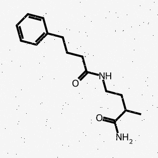 CC(CCNC(=O)[CH]CCc1ccccc1)C(N)=O